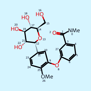 CNC(=O)c1cccc(Oc2cc([C@H]3O[C@H](CO)[C@@H](O)[C@H](O)[C@H]3O)ccc2OC)c1